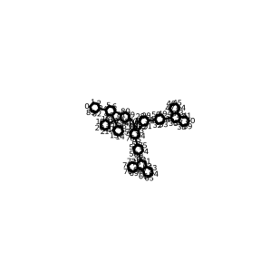 c1ccc(-c2ccc3c(c2)C(c2ccccc2)(c2ccccc2)c2cc(-n4c5ccc(-c6ccc(-c7cc8ccccc8c8ccccc78)cc6)cc5c5cc(-c6ccc(-c7cc8ccccc8c8ccccc78)cc6)ccc54)ccc2-3)cc1